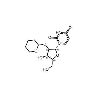 O=c1ccn([C@@H]2O[C@H](CO)[C@@H](O)[C@H]2OC2CCCCO2)c(=O)[nH]1